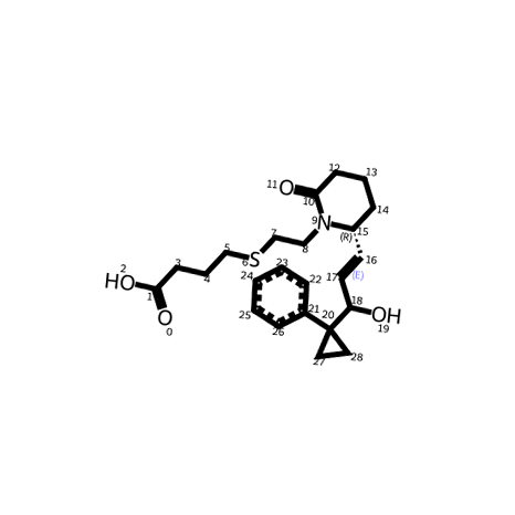 O=C(O)CCCSCCN1C(=O)CCC[C@@H]1/C=C/C(O)C1(c2ccccc2)CC1